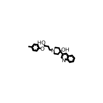 Cc1ccc(OC(O)CCN2CCC(O)(c3cnc4ccccc4c3)CC2)cc1